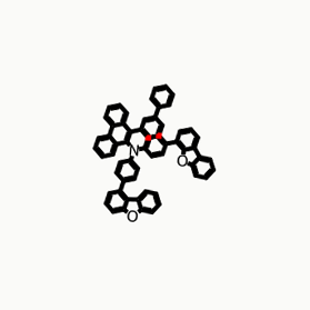 c1ccc(-c2cccc(-c3c(N(c4ccc(-c5cccc6c5oc5ccccc56)cc4)c4ccc(-c5cccc6oc7ccccc7c56)cc4)c4ccccc4c4ccccc34)c2)cc1